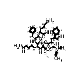 CC#CN(N)C(=O)N[C@H](Cc1c[nH]c2ccccc12)C(=O)N[C@@H](C)C(=O)N[C@@H](CCCCNC)C(=O)N[C@H](Cc1ccccc1)C(=O)N[C@@H](CCCCN)C(N)=O